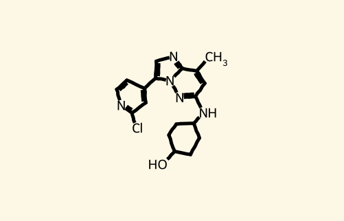 Cc1cc(NC2CCC(O)CC2)nn2c(-c3ccnc(Cl)c3)cnc12